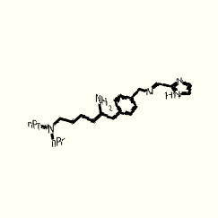 CCCN(CCC)CCCCC(N)Cc1ccc(C/N=C/c2ncc[nH]2)cc1